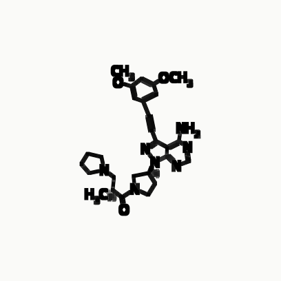 COc1cc(C#Cc2nn([C@H]3CCN(C(=O)[C@H](C)CN4CCCC4)C3)c3ncnc(N)c23)cc(OC)c1